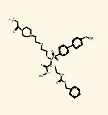 CCC(=O)N1CCN(CCOCCON([C@H](CCNC(=O)OCc2ccccc2)C(=O)NO)S(=O)(=O)c2ccc(-c3ccc(OC)cc3)cc2)CC1